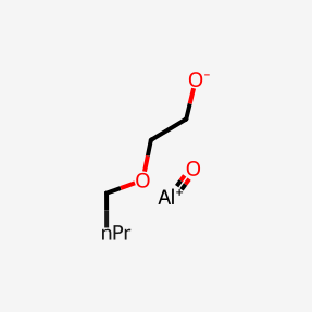 CCCCOCC[O-].[O]=[Al+]